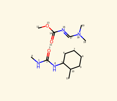 CNC(=O)NC1CCCCC1C.COC(=O)N=CN(C)C